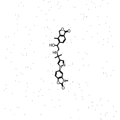 Cc1c(C(O)CNC(C)(C)c2cnn(-c3ccc4oc(=O)n(C)c4c3)c2)ccc2c1COC2=O